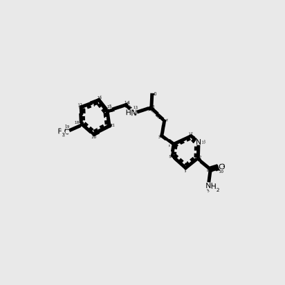 CC(CCc1ccc(C(N)=O)nc1)NCc1ccc(C(F)(F)F)cc1